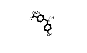 COC(=O)c1ccc([C@H](O)c2ccc(C#N)cc2)cc1